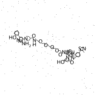 Cc1ncsc1-c1ccc(CNC(=O)[C@@H]2C[C@@H](O)CN2C(=O)[C@@H](CNC(=O)COCCOCCOCCOCCNC(=O)C2CCN(c3cc(-c4ccccc4O)nnc3N)CC2)C(C)(C)C)cc1